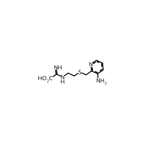 N=C(NCCSCc1ncccc1N)C(=O)O